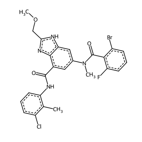 COCc1nc2c(C(=O)Nc3cccc(Cl)c3C)cc(N(C)C(=O)c3c(F)cccc3Br)cc2[nH]1